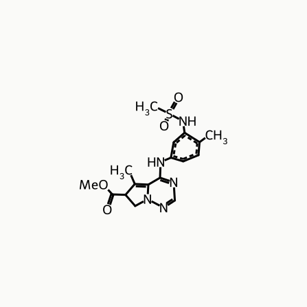 COC(=O)C1CN2N=CN=C(Nc3ccc(C)c(NS(C)(=O)=O)c3)C2=C1C